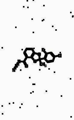 CC1(c2ccc(Cl)cc2F)Oc2cccc(C(=O)N=[N+]=[N-])c2O1